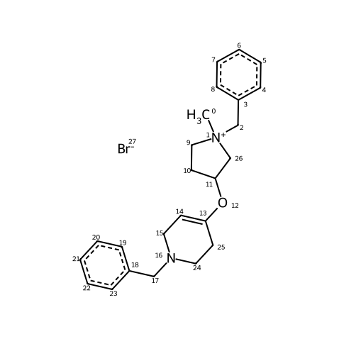 C[N+]1(Cc2ccccc2)CCC(OC2=CCN(Cc3ccccc3)CC2)C1.[Br-]